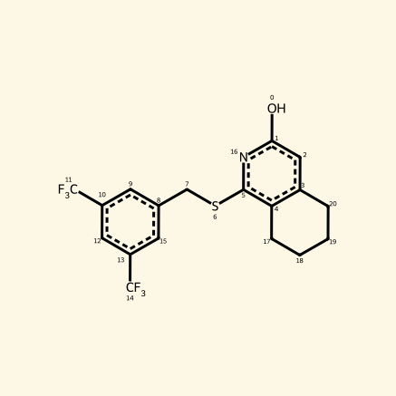 Oc1cc2c(c(SCc3cc(C(F)(F)F)cc(C(F)(F)F)c3)n1)CCCC2